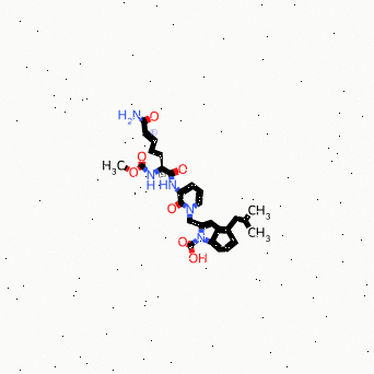 COC(=O)N[C@@H](CC/C=C/C(N)=O)C(=O)Nc1cccn(Cc2cc3c(CC(C)C)cccc3n2C(=O)O)c1=O